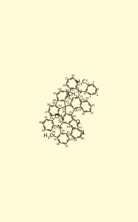 Cc1ccccc1N(c1ccccc1C)c1cc2c(c3ccccc13)-c1c(cc(N(c3ccccc3C)c3ccccc3C)c3c1oc1ncccc13)C21c2ccccc2-c2ccccc21